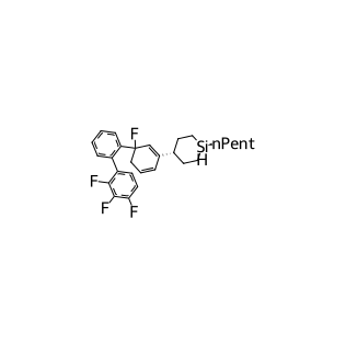 CCCCC[Si@H]1CC[C@H](C2=CC(F)(c3ccccc3-c3ccc(F)c(F)c3F)CC=C2)CC1